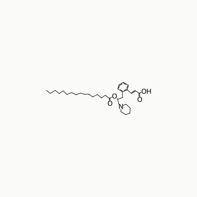 CCCCCCCCCCCCCCCC(=O)OC(Cc1ccccc1/C=C/C(=O)O)CN1CCCCC1